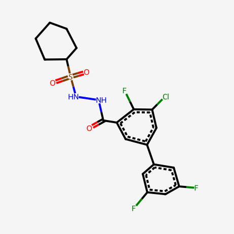 O=C(NNS(=O)(=O)C1CCCCC1)c1cc(-c2cc(F)cc(F)c2)cc(Cl)c1F